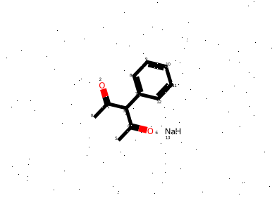 CC(=O)C(C(C)=O)c1ccccc1.[NaH]